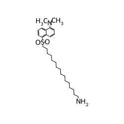 CN(C)c1cccc2c(S(=O)(=O)CCCCCCCCCCCCCCCCN)cccc12